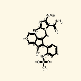 CCc1nc(NC)c(C(N)=O)n1Cc1c2ccocc-2c(Br)c1-c1ccccc1NS(=O)(=O)C(F)(F)F